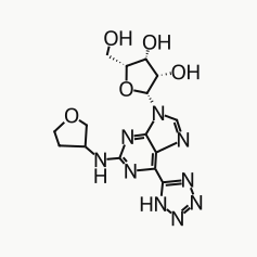 OC[C@H]1O[C@@H](n2cnc3c(-c4nnn[nH]4)nc(NC4CCOC4)nc32)[C@@H](O)[C@H]1O